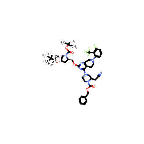 CC(C)(C)OC(=O)N1C[C@@H](O[Si](C)(C)C(C)(C)C)C[C@@H]1COc1nc2c(c(N3CCN(C(=O)OCc4ccccc4)C(CC#N)C3)n1)CCN(c1cccc(F)c1C(F)(F)F)C2